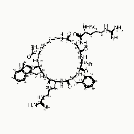 CC(=O)N[C@@H](CCCNC(=N)N)C(=O)N[C@H]1CC(=O)NCCCC[C@@H](C(N)=O)NC(=O)[C@H](Cc2c[nH]c3ccccc23)NC(=O)[C@H](CCCNC(=N)N)NC(=O)[C@@H](Cc2ccccc2)NC(=O)[C@@H](C(C)C)NC1=O